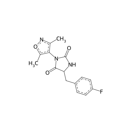 Cc1noc(C)c1N1C(=O)NC(Cc2ccc(F)cc2)C1=O